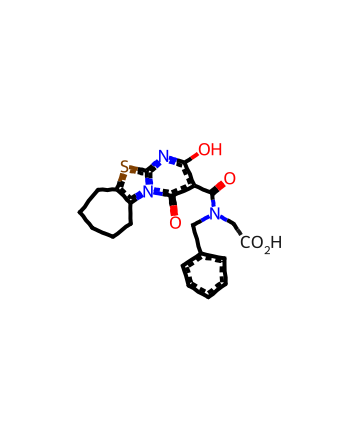 O=C(O)CN(Cc1ccccc1)C(=O)c1c(O)nc2sc3c(n2c1=O)CCCCC3